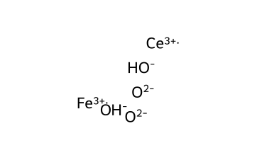 [Ce+3].[Fe+3].[O-2].[O-2].[OH-].[OH-]